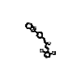 O=C(C=Cc1ccc(-c2nc3ccccc3s2)cc1)C=Cc1c(Cl)cccc1Cl